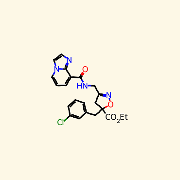 CCOC(=O)C1(Cc2cccc(Cl)c2)CC(CNC(=O)c2cccn3ccnc23)=NO1